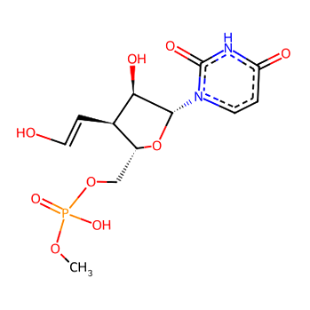 COP(=O)(O)OC[C@H]1O[C@@H](n2ccc(=O)[nH]c2=O)[C@H](O)[C@@H]1/C=C/O